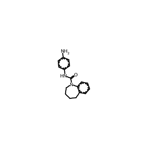 Nc1ccc(NC(=O)N2CCCCc3ccccc32)cc1